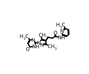 Cc1cccc(NC(=O)CCc2c(C)nn(-c3nc(C)cc(=O)[nH]3)c2C)n1